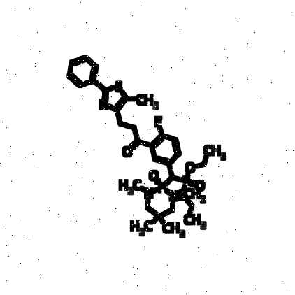 CCOP(=O)(OCC)C(c1ccc(F)c(C(=O)CCc2nc(-c3ccccc3)sc2C)c1)P1(=O)N(C)CC(C)(C)CN1C